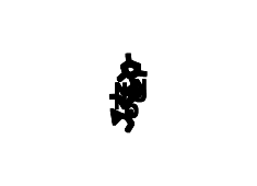 CCC(Oc1nc(C)nc2c(-c3c(C)cc(C)cc3C)noc12)C1CC1